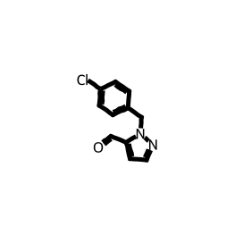 O=Cc1ccnn1Cc1ccc(Cl)cc1